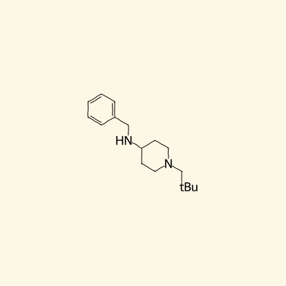 CC(C)(C)CN1CCC(NCc2ccccc2)CC1